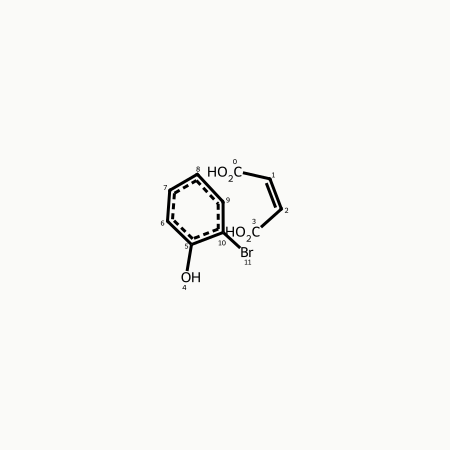 O=C(O)/C=C\C(=O)O.Oc1ccccc1Br